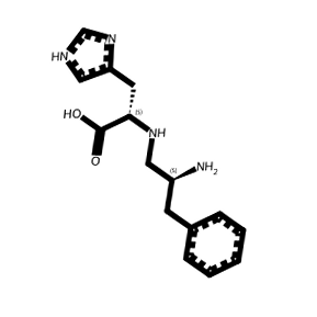 N[C@H](CN[C@@H](Cc1c[nH]cn1)C(=O)O)Cc1ccccc1